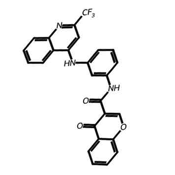 O=C(Nc1cccc(Nc2cc(C(F)(F)F)nc3ccccc23)c1)c1coc2ccccc2c1=O